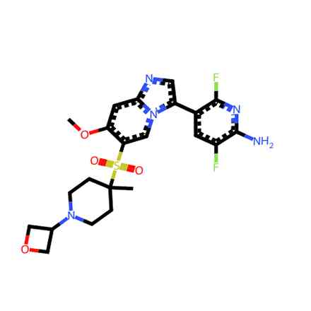 COc1cc2ncc(-c3cc(F)c(N)nc3F)n2cc1S(=O)(=O)C1(C)CCN(C2COC2)CC1